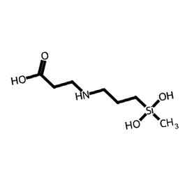 C[Si](O)(O)CCCNCCC(=O)O